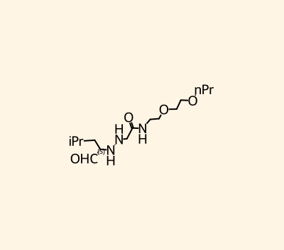 CCCOCCOCCNC(=O)CNN[C@H](C=O)CC(C)C